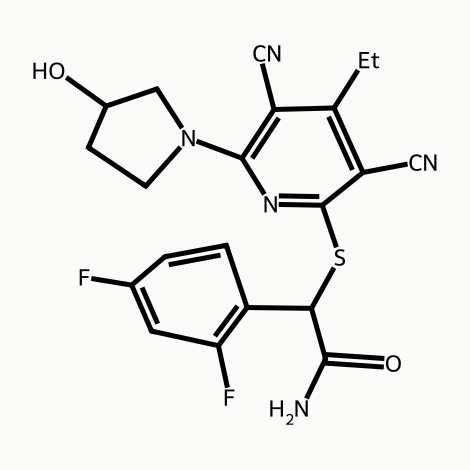 CCc1c(C#N)c(SC(C(N)=O)c2ccc(F)cc2F)nc(N2CCC(O)C2)c1C#N